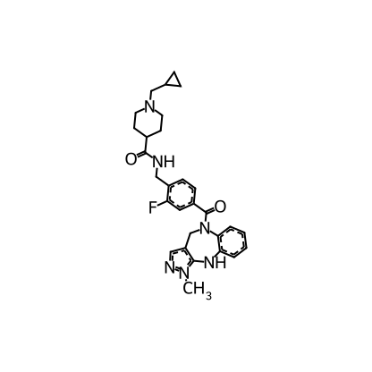 Cn1ncc2c1Nc1ccccc1N(C(=O)c1ccc(CNC(=O)C3CCN(CC4CC4)CC3)c(F)c1)C2